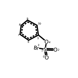 O=S(=O)(Br)Oc1ccccc1